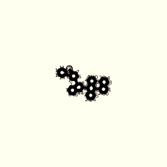 c1ccc2c(-c3ccc4oc5ccccc5c4c3)cc(-c3c4ccccc4c(-c4cccc5ccccc45)c4ccccc34)cc2c1